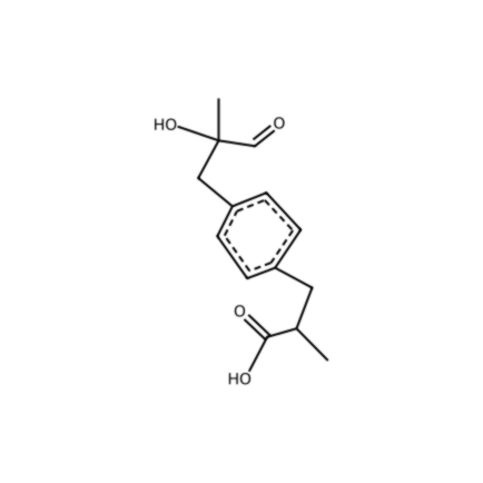 CC(Cc1ccc(CC(C)(O)C=O)cc1)C(=O)O